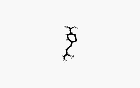 CC(C)C1CCC(CCC(O)CO)CC1